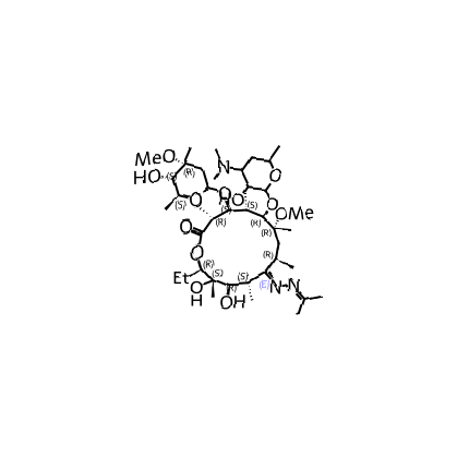 CC[C@H]1OC(=O)[C@H](C)[C@@H](OC2C[C@@](C)(OC)[C@@H](O)[C@H](C)O2)[C@H](C)[C@@H](OC2OC(C)CC(N(C)C)C2O)[C@](C)(OC)C[C@@H](C)/C(=N\N=C(C)C)[C@H](C)[C@@H](O)[C@]1(C)O